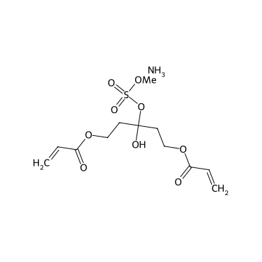 C=CC(=O)OCCC(O)(CCOC(=O)C=C)OS(=O)(=O)OC.N